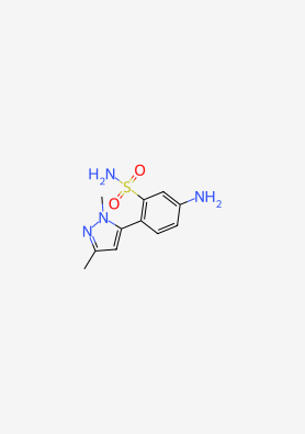 Cc1cc(-c2ccc(N)cc2S(N)(=O)=O)n(C)n1